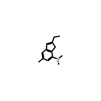 CCC1=Cc2cc(C)cc([SiH](C)C)c2C1